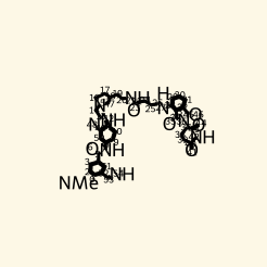 CNc1ccc(C(=O)Nc2ccc3[nH]c(CN4CCC(CCNC(=O)CCCNc5cccc6c5C(=O)N(C5CCC(=O)NC5=O)C6=O)C4)nc3c2)cc1C=N